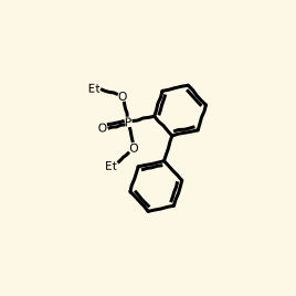 CCOP(=O)(OCC)c1ccccc1-c1ccccc1